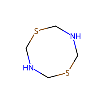 C1NCSCNCS1